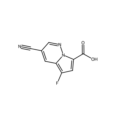 N#Cc1cnn2c(C(=O)O)cc(F)c2c1